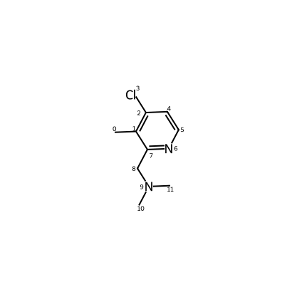 Cc1c(Cl)ccnc1CN(C)C